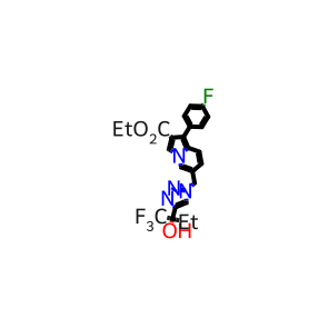 CCOC(=O)c1cn2cc(Cn3cc(C(O)(CC)C(F)(F)F)nn3)ccc2c1-c1ccc(F)cc1